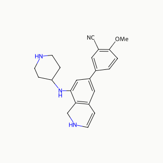 COc1ccc(-c2cc3c(c(NC4CCNCC4)c2)CNC=C3)cc1C#N